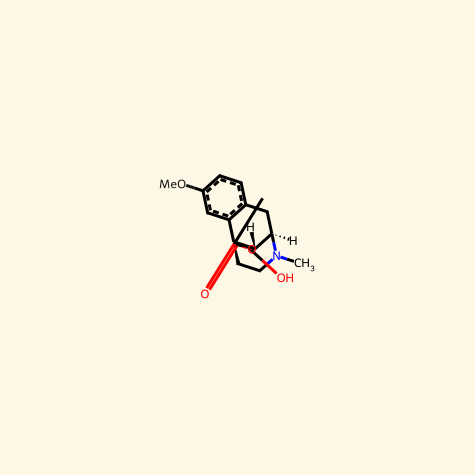 COc1ccc2c(c1)[C@]13CCN(C)[C@H](C2)[C@@H]1C(O)OC(=O)C3